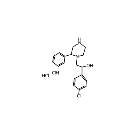 Cl.Cl.OC(CN1CCNCC1c1ccccc1)c1ccc(Cl)cc1